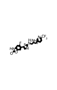 N[C@@H](CNc1ncc(-c2cc3oc(=O)[nH]c3cc2F)s1)Cc1ccc(C(F)(F)F)nc1